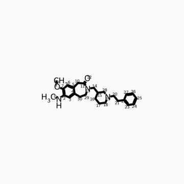 CNc1cc2c(cc1OC)CC(=O)N(CC1CCCN(CCc3ccccc3)C1)CC2